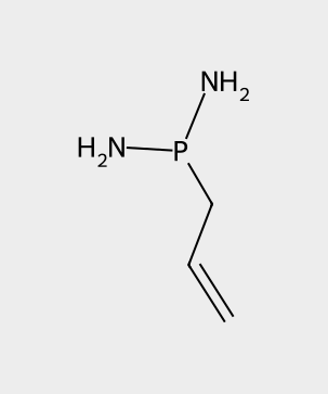 C=CCP(N)N